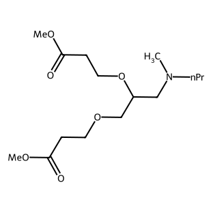 CCCN(C)CC(COCCC(=O)OC)OCCC(=O)OC